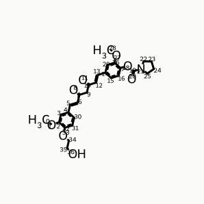 COc1cc(C=CC(=O)CC(=O)C=Cc2ccc(OC(=O)N3CCCC3)c(OC)c2)ccc1OCCO